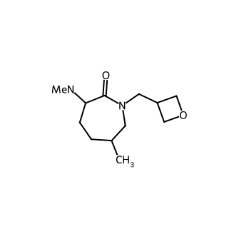 CNC1CCC(C)CN(CC2COC2)C1=O